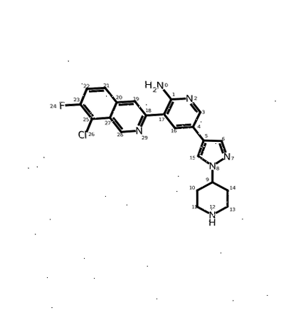 Nc1ncc(-c2cnn(C3CCNCC3)c2)cc1-c1cc2ccc(F)c(Cl)c2cn1